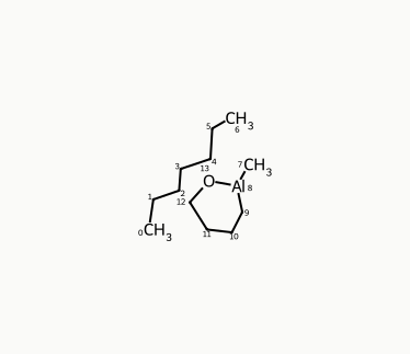 CCCCCCC.[CH3][Al]1[CH2]CCC[O]1